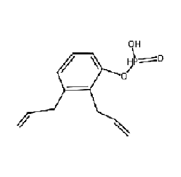 C=CCc1cccc(O[PH](=O)O)c1CC=C